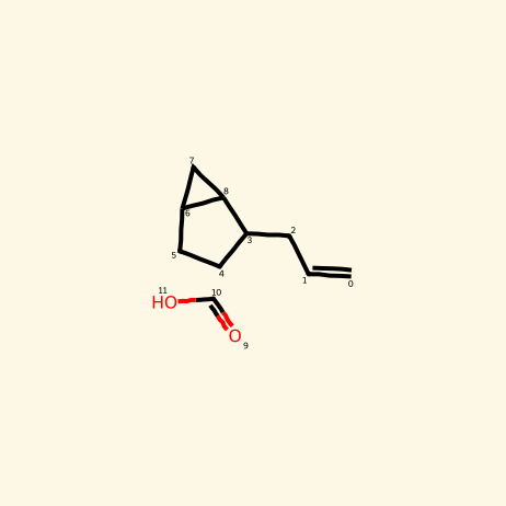 C=CCC1CCC2CC12.O=CO